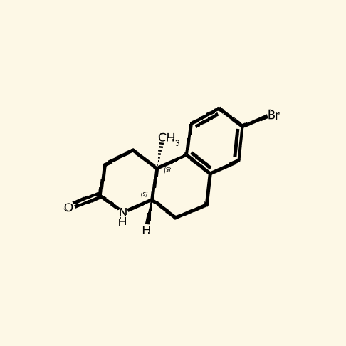 C[C@@]12CCC(=O)N[C@H]1CCc1cc(Br)ccc12